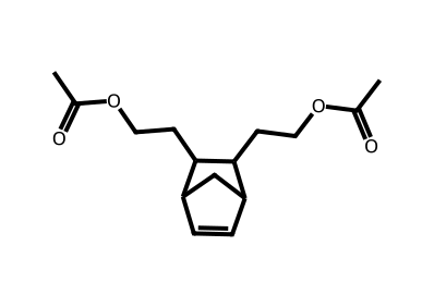 CC(=O)OCCC1C2C=CC(C2)C1CCOC(C)=O